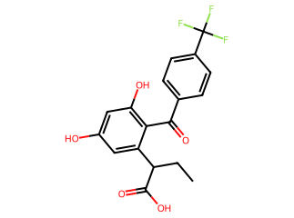 CCC(C(=O)O)c1cc(O)cc(O)c1C(=O)c1ccc(C(F)(F)F)cc1